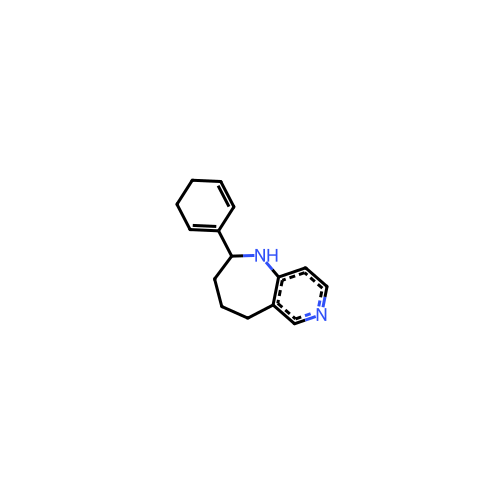 C1=CC(C2CCCc3cnccc3N2)=CCC1